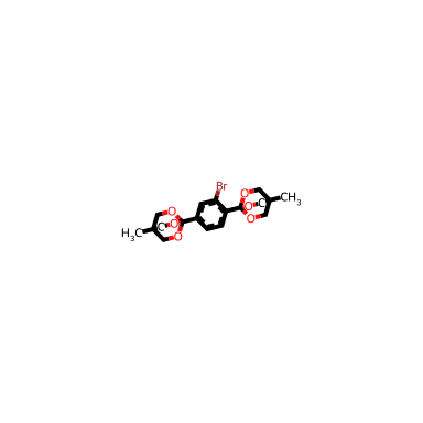 CC12COC(c3ccc(C45OCC(C)(CO4)CO5)c(Br)c3)(OC1)OC2